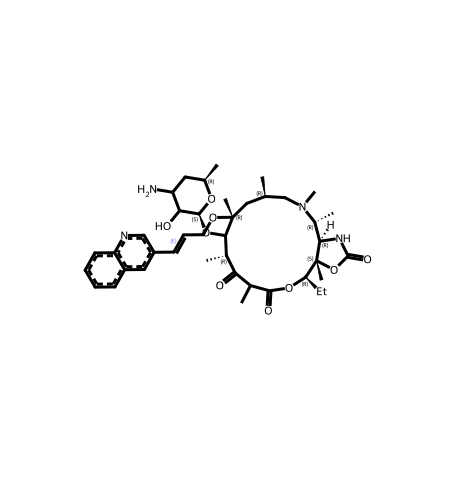 CC[C@H]1OC(=O)C(C)C(=O)[C@H](C)C(O[C@@H]2O[C@H](C)CC(N)C2O)[C@](C)(OC/C=C/c2cnc3ccccc3c2)C[C@@H](C)CN(C)[C@H](C)[C@H]2NC(=O)O[C@@]21C